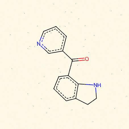 O=C(c1cccnc1)c1cccc2c1NCC2